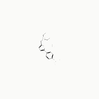 CCN(CC)Cc1ccc(-c2ccc([N+](=O)[O-])cc2)o1.Cl